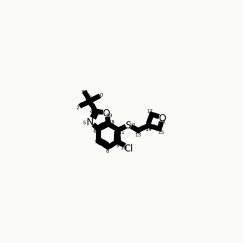 CC(C)(C)c1nc2ccc(Cl)c(SCC3COC3)c2o1